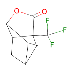 CC1C2CC3C1OC(=O)C3(C(F)(F)F)C2